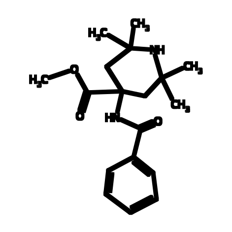 COC(=O)C1(NC(=O)c2ccccc2)CC(C)(C)NC(C)(C)C1